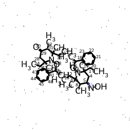 CCC1(C)C/C(=N\O)C(C)C(C)(CC)N1OC(C)c1ccccc1.CCC1(C)CC(=O)C(C)C(C)(CC)N1OC(C)c1ccccc1